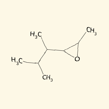 CC(C)C(C)C1OC1C